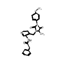 CC1C(=O)N(c2ccc(SC(F)(F)F)cc2)C(=O)N1Cc1ccncc1NC(=O)Cc1ccccc1